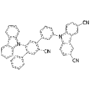 N#Cc1ccc2c(c1)c1cc(C#N)ccc1n2-c1cccc(-c2cc(-n3c4ccccc4c4ccccc43)c(-c3ccccc3)cc2C#N)c1